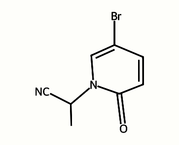 CC(C#N)n1cc(Br)ccc1=O